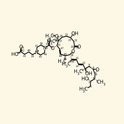 CC[C@H](O)[C@@H](C)[C@H]1O[C@@H]1C[C@@](C)(O)/C=C/C=C(\C)[C@H]1OC(=O)C[C@H](O)CC[C@@](C)(OC)[C@@H](OC(=O)N2CCN(CCCC(=O)O)CC2)/C=C/[C@@H]1C